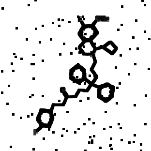 COc1cc2c(cc1F)CCN(CCCC(CCCC(=O)CCc1ccc(F)cc1)(c1ccccc1)c1ccccc1)C2C1CCC1